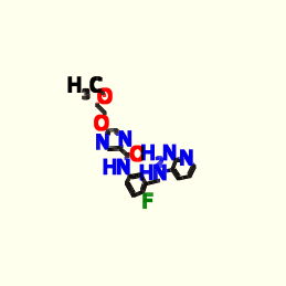 COCCOc1cnc(C(=O)Nc2ccc(F)c(CNc3cccnc3N)c2)cn1